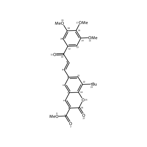 COC(=O)c1cc2cc(/C=C/C(=O)c3cc(OC)c(OC)c(OC)c3)cc(C(C)(C)C)c2oc1=O